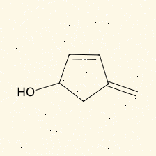 C=C1C=CC(O)C1